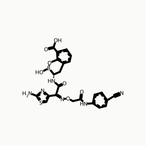 N#Cc1ccc(NC(=O)CO/N=C(\C(=O)N[C@H]2Cc3cccc(C(=O)O)c3OB2O)c2csc(N)n2)cc1